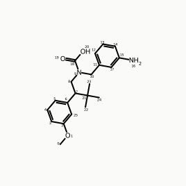 COc1cccc(C(CN(Cc2cccc(N)c2)C(=O)O)C(C)(C)C)c1